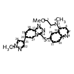 COCCN(C)c1ccnc2ccc(Sc3nnc4ccc(-c5cnn(C)c5)cn34)cc12